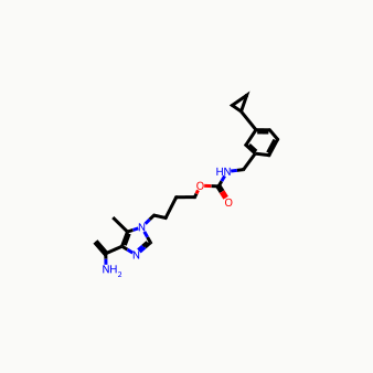 C=C(N)c1ncn(CCCCOC(=O)NCc2cccc(C3CC3)c2)c1C